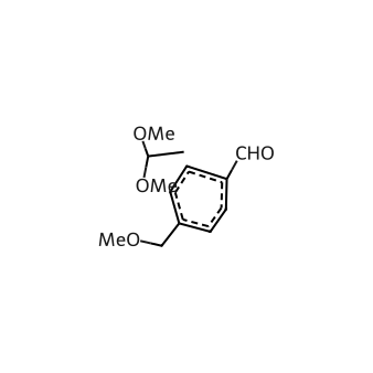 COC(C)OC.COCc1ccc(C=O)cc1